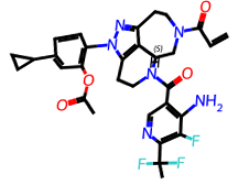 C=CC(=O)N1CCc2nn(-c3ccc(C4CC4)cc3OC(C)=O)c3c2[C@@H](C1)N(C(=O)c1cnc(C(C)(F)F)c(F)c1N)CC3